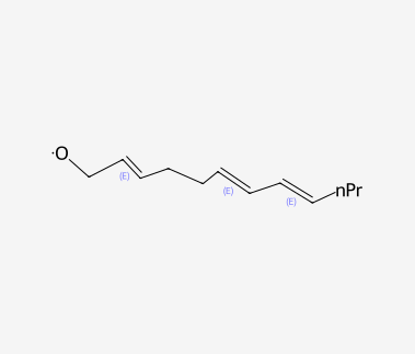 CCC/C=C/C=C/CC/C=C/C[O]